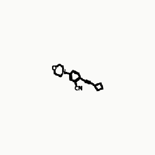 N#Cc1cc(N2CCOCC2)ccc1C#CC1CCC1